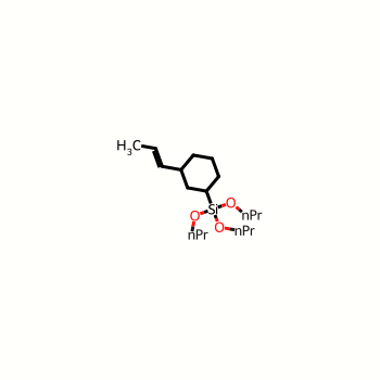 CC=CC1CCCC([Si](OCCC)(OCCC)OCCC)C1